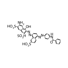 Nc1cc2c(O)c(N=Nc3ccc(N=Nc4ccc(NC(=O)c5ccccc5)cc4)c4ccc(S(=O)(=O)O)cc34)c(S(=O)(=O)O)cc2cc1S(=O)(=O)O